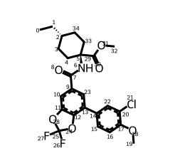 CC[C@H]1CC[C@@](NC(=O)c2cc3c(c(-c4ccc(OC)c(Cl)c4)c2)OC(F)(F)O3)(C(=O)OC)CC1